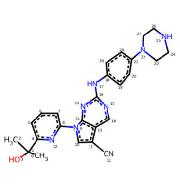 CC(C)(O)c1cccc(-n2cc(C#N)c3cnc(Nc4ccc(N5CCNCC5)cc4)nc32)n1